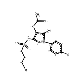 CC(=O)Oc1c(NS(=O)(=O)CCCBr)oc(-c2ccc(Cl)cc2)c1O